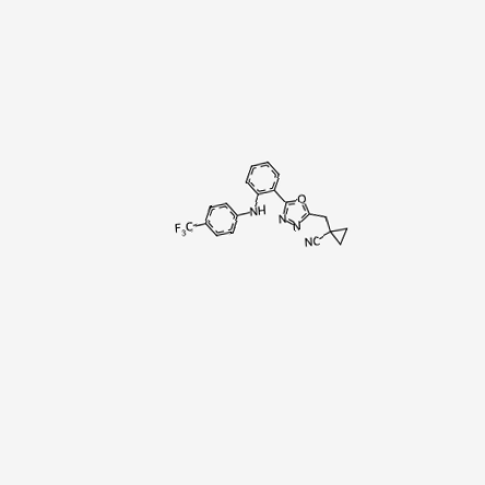 N#CC1(Cc2nnc(-c3ccccc3Nc3ccc(C(F)(F)F)cc3)o2)CC1